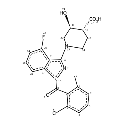 Cc1cccc(Cl)c1C(=O)n1nc(N2CC[C@@H](C(=O)O)[C@H](O)C2)c2c(F)cccc21